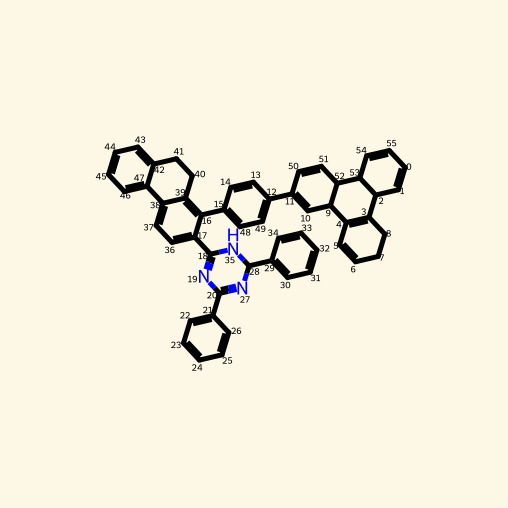 C1=CC2C3=C(C=CCC3)C3C=C(c4ccc(-c5c(C6=NC(c7ccccc7)=NC(c7ccccc7)N6)ccc6c5CCc5ccccc5-6)cc4)C=CC3C2C=C1